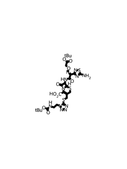 CC(C)(C)OC(=O)CON=C(C(=O)NC1C(=O)N2C(C(=O)O)=C(CSc3nnnn3CCNC(=O)OC(C)(C)C)CS[C@@H]12)c1nsc(N)n1